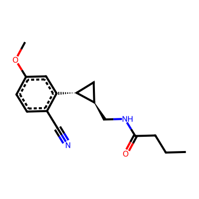 CCCC(=O)NC[C@@H]1C[C@H]1c1cc(OC)ccc1C#N